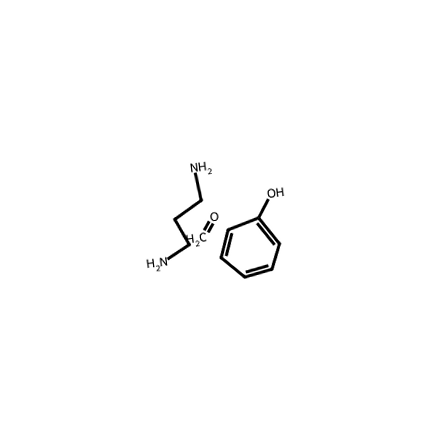 C=O.NCCCN.Oc1ccccc1